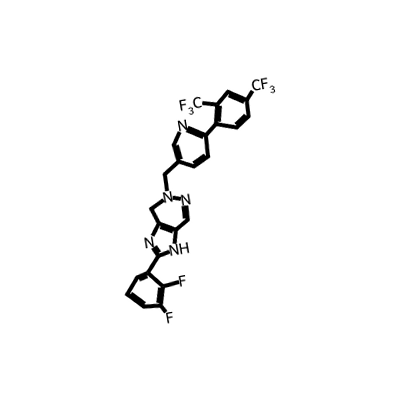 Fc1cccc(-c2nc3c([nH]2)C=NN(Cc2ccc(-c4ccc(C(F)(F)F)cc4C(F)(F)F)nc2)C3)c1F